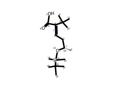 C[C@@H](C/C=C(/C(=O)O)C(C)(C)C)O[Si](C)(C)C(C)(C)C